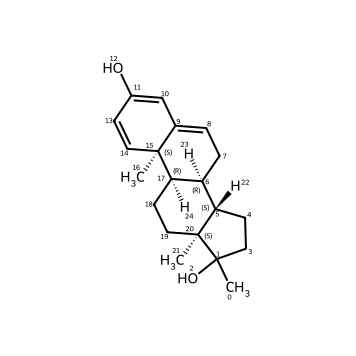 CC1(O)CC[C@H]2[C@@H]3CC=C4C=C(O)C=C[C@]4(C)[C@@H]3CC[C@@]21C